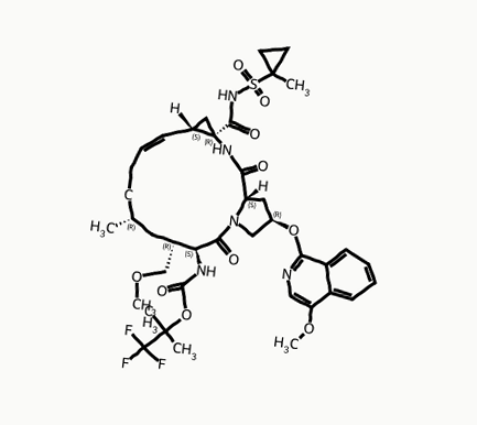 COC[C@@H]1C[C@H](C)CCC=C[C@@H]2C[C@@]2(C(=O)NS(=O)(=O)C2(C)CC2)NC(=O)[C@@H]2C[C@@H](Oc3ncc(OC)c4ccccc34)CN2C(=O)[C@H]1NC(=O)OC(C)(C)C(F)(F)F